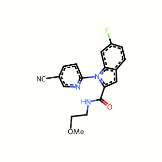 COCCNC(=O)c1cc2ccc(F)cc2n1-c1ccc(C#N)cn1